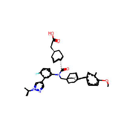 COc1ccc(C23CCC(CN(c4ccc(F)c(-c5cnn(C(C)C)c5)c4)C(=O)[C@H]4CC[C@H](CC(=O)O)CC4)(CC2)CC3)cc1C